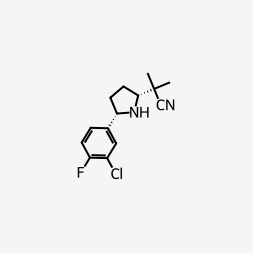 CC(C)(C#N)[C@H]1CC[C@@H](c2ccc(F)c(Cl)c2)N1